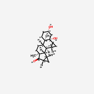 C[C@]12CC[C@H]3[C@@H]([C@H]4C[C@H]4[C@]4(O)C[C@@H](O)CC[C@]34C)[C@@H]1[C@@H]1C[C@@H]1C2=O